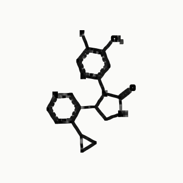 Cc1cc(N2C(=O)NCC2c2cnccc2C2CC2)ncc1F